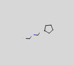 CCNCC.[CH]1CCCC1